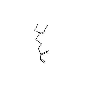 C=CC(=O)CCC[SiH](OC)OC